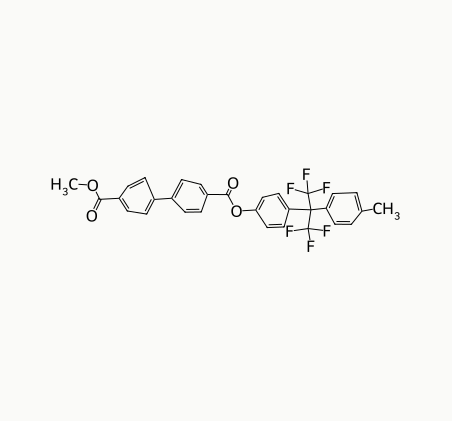 COC(=O)c1ccc(-c2ccc(C(=O)Oc3ccc(C(c4ccc(C)cc4)(C(F)(F)F)C(F)(F)F)cc3)cc2)cc1